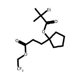 CCC(C)(C)C(=O)OC1(CCC(=O)OCC(F)(F)F)CCCC1